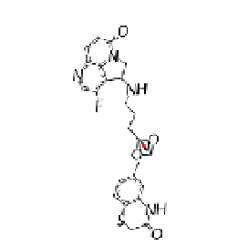 O=C1CSc2ccc(N3CC4(CCCNC5Cn6c(=O)ccc7ncc(F)c5c76)OC3O4)cc2N1